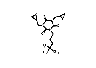 CC(C)(C)CCCn1c(=O)n(CC2CO2)c(=O)n(CC2CO2)c1=O